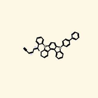 C#C/C=C\C=C(/C)c1ccccc1-n1c2c(c3c4c5ccccc5n(-c5ccc(-c6ccccc6)cc5)c4ccc31)C=CCC2